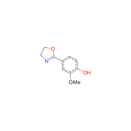 COc1cc(C2=NCCO2)ccc1O